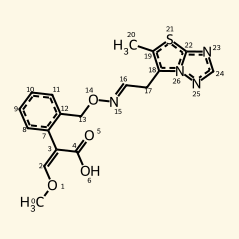 COC=C(C(=O)O)c1ccccc1CON=CCc1c(C)sc2ncnn12